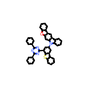 c1ccc(-c2nc(-c3ccccc3)nc(-c3cc(-n4c5ccccc5c5cc6c(cc54)oc4ccccc46)cc4c3sc3ccccc34)n2)cc1